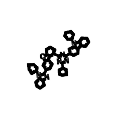 c1ccc(-c2nc(-c3ccc4c5ccccc5n(-c5ccccc5)c4c3)nc(-c3cccc4oc5cc(-c6nc7ccccc7n6-c6ccccc6)ccc5c34)n2)cc1